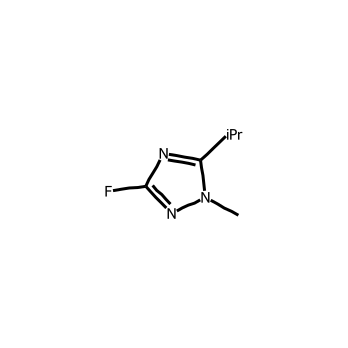 CC(C)c1nc(F)nn1C